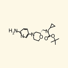 CC(C)(C)OC(=O)N(C[C@H]1CN(c2ccc(N)nc2)CCO1)C1CC1